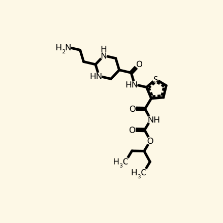 CCC(CC)OC(=O)NC(=O)c1ccsc1NC(=O)C1CNC(CCN)NC1